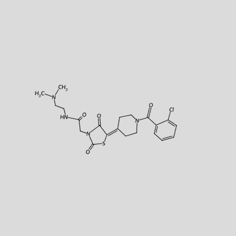 CN(C)CCNC(=O)CN1C(=O)SC(=C2CCN(C(=O)c3ccccc3Cl)CC2)C1=O